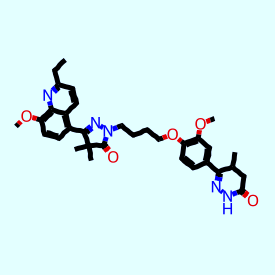 CCc1ccc2c(C3=NN(CCCCOc4ccc(C5=NNC(=O)CC5C)cc4OC)C(=O)C3(C)C)ccc(OC)c2n1